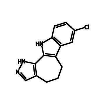 Clc1ccc2[nH]c3c(c2c1)CCCc1cn[nH]c1-3